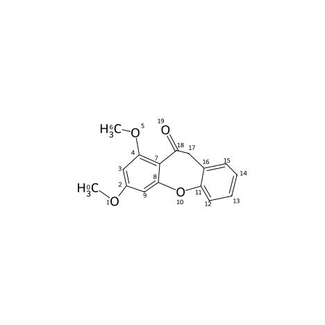 COc1cc(OC)c2c(c1)Oc1ccccc1CC2=O